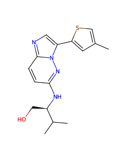 Cc1csc(-c2cnc3ccc(N[C@H](CO)C(C)C)nn23)c1